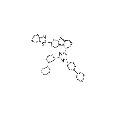 c1ccc(-c2ccc(-c3cc(-c4cccc5sc6cc(-c7nc8ccccc8s7)ccc6c45)nc(-c4cccc(-c5ccccc5)c4)n3)cc2)cc1